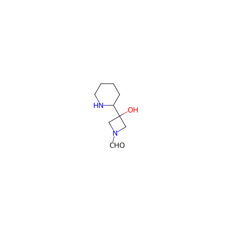 O=CN1CC(O)(C2CCCCN2)C1